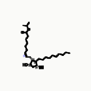 CCCCCCCCCC[C@@H]1[C@@H](C/C=C\CCCCCC(=O)OC(C)C)[C@@H](O)C[C@H]1O